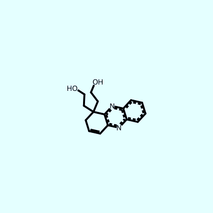 OCCC1(CCO)CC=Cc2nc3ccccc3nc21